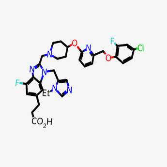 CCn1cncc1Cn1c(CN2CCC(Oc3cccc(COc4ccc(Cl)cc4F)n3)CC2)nc2c(F)cc(CCC(=O)O)cc21